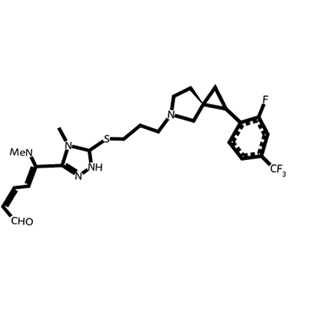 CN/C(=C\C=C/C=O)C1=NNC(SCCCN2CC[C@]3(CC3c3ccc(C(F)(F)F)cc3F)C2)N1C